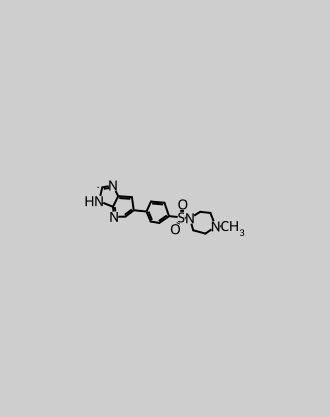 CN1CCN(S(=O)(=O)c2ccc(-c3cnc4[nH][c]nc4c3)cc2)CC1